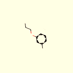 O=C(O)CCOc1cccc(C(F)(F)F)c1.[NaH]